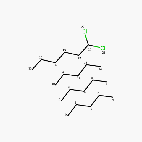 CCCCC.CCCCC.CCCCC.CCCCCC(Cl)Cl